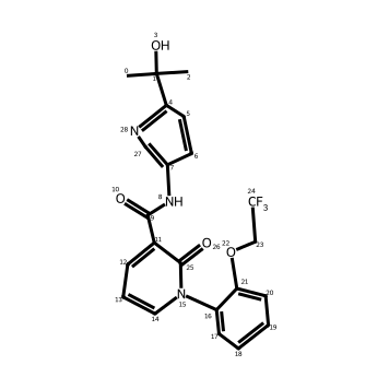 CC(C)(O)c1ccc(NC(=O)c2cccn(-c3ccccc3OCC(F)(F)F)c2=O)cn1